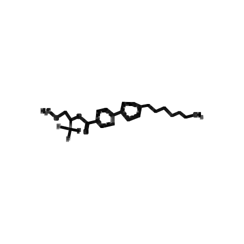 CCCCCCCc1ccc(-c2ccc(C(=O)OC(COC)C(F)(F)F)cc2)cc1